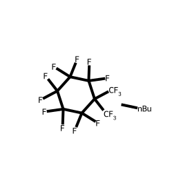 CCCCC.FC(F)(F)C1(C(F)(F)F)C(F)(F)C(F)(F)C(F)(F)C(F)(F)C1(F)F